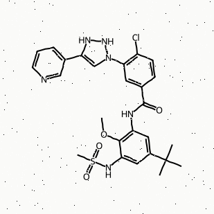 COc1c(NC(=O)c2ccc(Cl)c(N3C=C(c4cccnc4)NN3)c2)cc(C(C)(C)C)cc1NS(C)(=O)=O